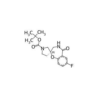 CC(C)(C)OC(=O)N1CC[C@@]2(CNC(=O)c3cc(F)ccc3O2)C1